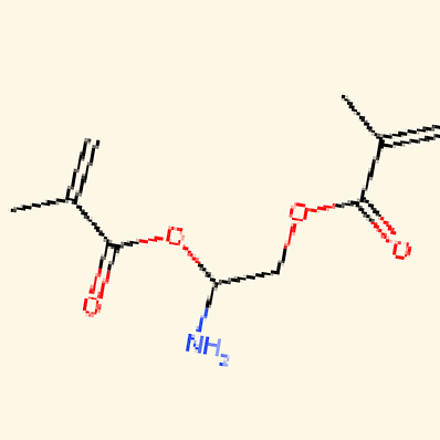 C=C(C)C(=O)OCC(N)OC(=O)C(=C)C